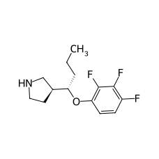 CCC[C@H](Oc1ccc(F)c(F)c1F)[C@H]1CCNC1